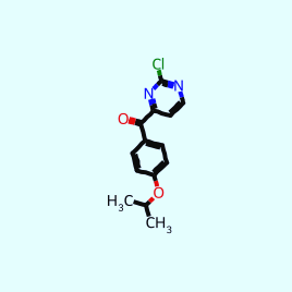 CC(C)Oc1ccc(C(=O)c2ccnc(Cl)n2)cc1